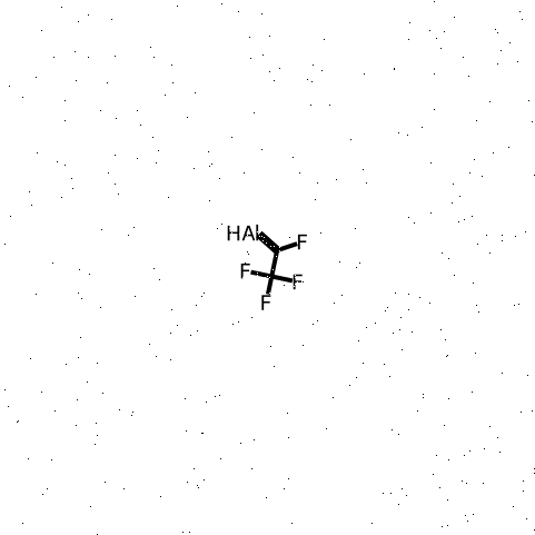 F[C](=[AlH])C(F)(F)F